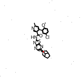 COc1ccc(Cl)cc1-c1cc(C)ncc1C(=O)Nc1nc2ncc(N3CC4CCC(C3)C4C#N)nc2s1